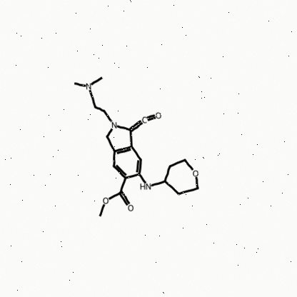 COC(=O)c1cc2c(cc1NC1CCOCC1)C(=C=O)N(CCN(C)C)C2